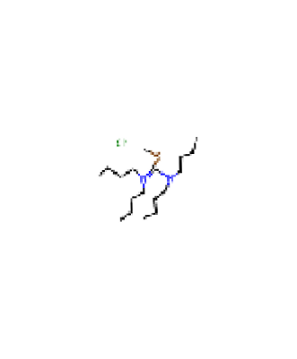 CCCCN(CCCC)C(SC)=[N+](CCCC)CCCC.[Cl-]